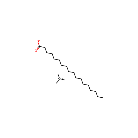 CCCCCCCCCCCCCCCCCC(=O)[O-].[CH3][Sn+]([CH3])[CH3]